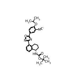 [C-]#[N+]c1cc(-c2nc(-c3cccc4c3CCC[C@@H]4NC(=O)OC(C)(C)C)no2)ccc1OC(C)C